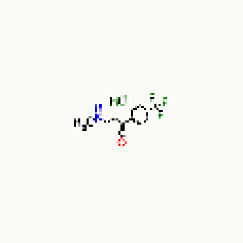 CNCCC(=C=O)c1ccc(C(F)(F)F)cc1.Cl